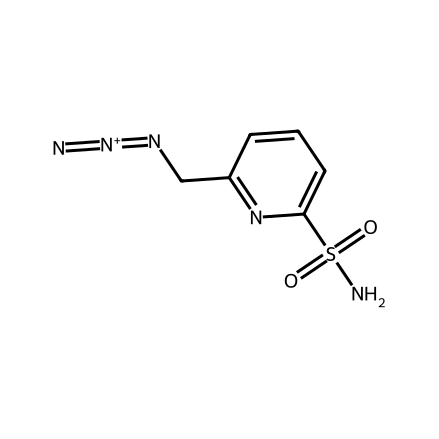 [N-]=[N+]=NCc1cccc(S(N)(=O)=O)n1